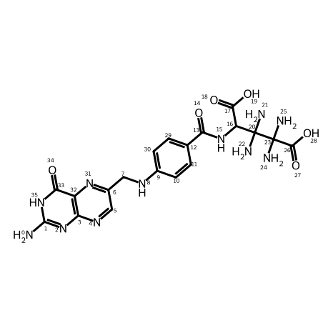 Nc1nc2ncc(CNc3ccc(C(=O)NC(C(=O)O)C(N)(N)C(N)(N)C(=O)O)cc3)nc2c(=O)[nH]1